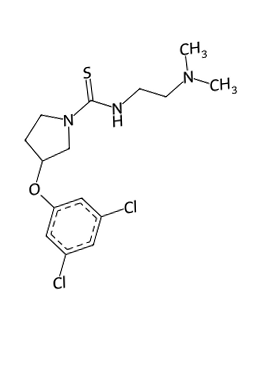 CN(C)CCNC(=S)N1CCC(Oc2cc(Cl)cc(Cl)c2)C1